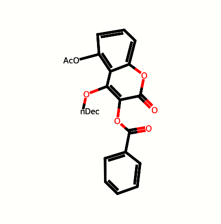 CCCCCCCCCCOc1c(OC(=O)c2ccccc2)c(=O)oc2cccc(OC(C)=O)c12